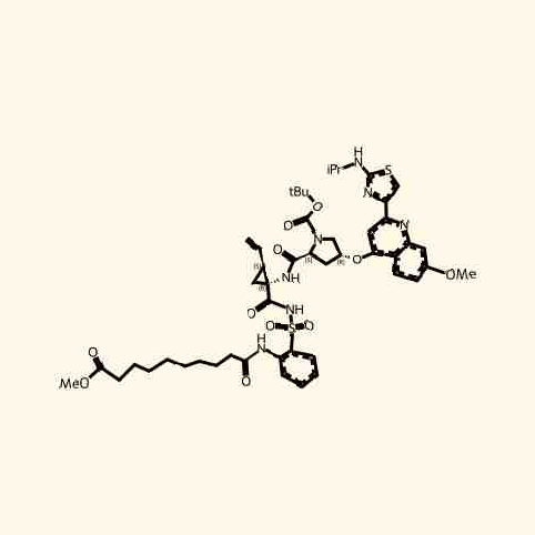 C=C[C@@H]1C[C@]1(NC(=O)[C@@H]1C[C@@H](Oc2cc(-c3csc(NC(C)C)n3)nc3cc(OC)ccc23)CN1C(=O)OC(C)(C)C)C(=O)NS(=O)(=O)c1ccccc1NC(=O)CCCCCCCCC(=O)OC